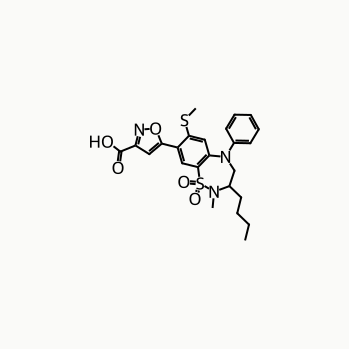 CCCCC1CN(c2ccccc2)c2cc(SC)c(-c3cc(C(=O)O)no3)cc2S(=O)(=O)N1C